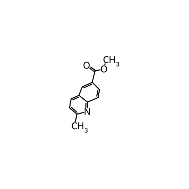 COC(=O)c1ccc2nc(C)ccc2c1